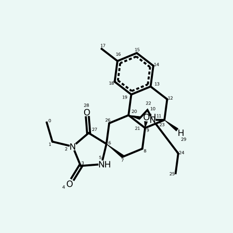 CCN1C(=O)N[C@]2(CC[C@@]3(O)[C@H]4Cc5ccc(C)cc5[C@@]3(CCN4CC)C2)C1=O